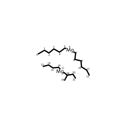 CCCCC[CH2][Mg][CH2]CCCCC.CCC[CH2][Mg][CH](C)CC